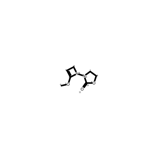 COC1=CCN1N1CCOC1=O